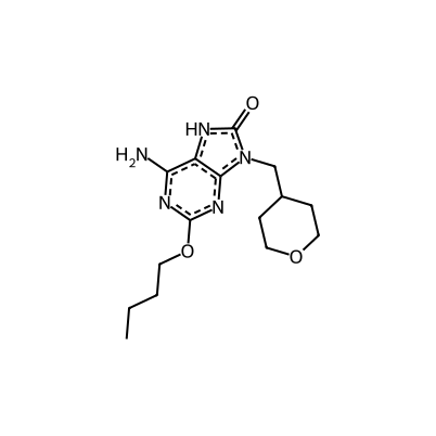 CCCCOc1nc(N)c2[nH]c(=O)n(CC3CCOCC3)c2n1